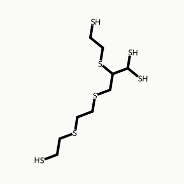 SCCSCCSCC(SCCS)C(S)S